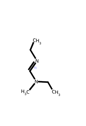 CC/N=C/N(C)CC